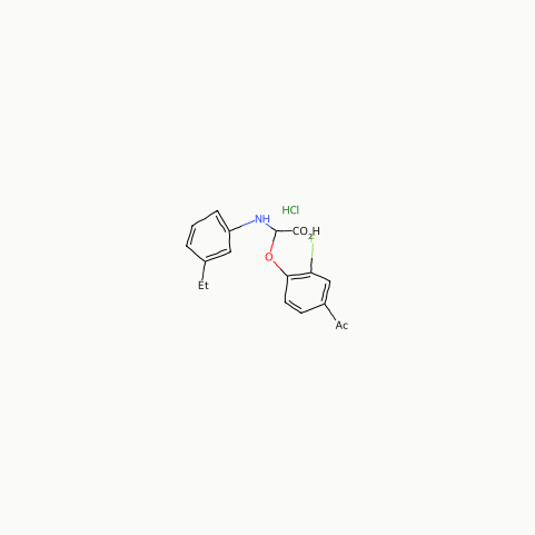 CCc1cccc(NC(Oc2ccc(C(C)=O)cc2F)C(=O)O)c1.Cl